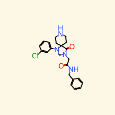 O=C(CN1CN(c2cccc(Cl)c2)C2(CCNCC2)C1=O)NCc1ccccc1